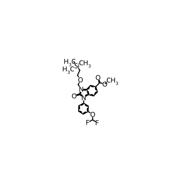 COC(=O)c1ccc2c(c1)n(COCC[Si](C)(C)C)c(=O)n2-c1cccc(OC(F)F)c1